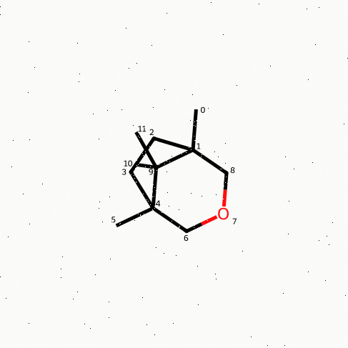 CC12CCC(C)(COC1)C2(C)C